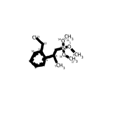 CO[Si](CC(C)c1ccccc1CCl)(OC)OC